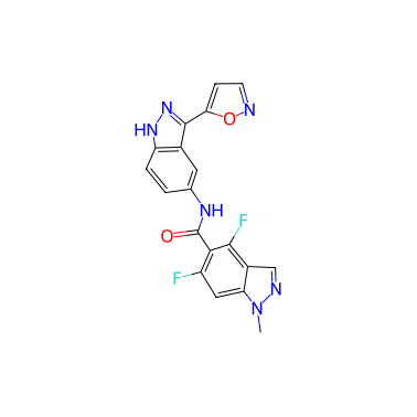 Cn1ncc2c(F)c(C(=O)Nc3ccc4[nH]nc(-c5ccno5)c4c3)c(F)cc21